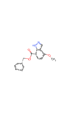 COc1ccc(C(=O)OCc2ccccc2)c2[nH]ncc12